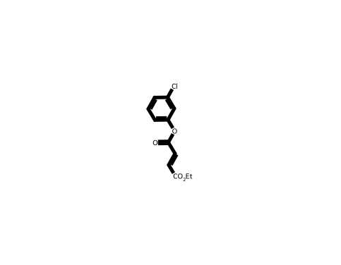 CCOC(=O)/C=C/C(=O)Oc1cccc(Cl)c1